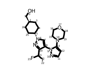 OC[C@H]1CC[C@H](n2cc(-n3nccc3N3CCOCC3)c(C(F)F)n2)CC1